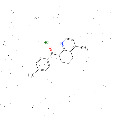 Cc1ccc(C(=O)C2CCCc3c(C)ccnc32)cc1.Cl